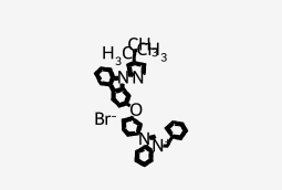 CC(C)(C)c1ccnc(-n2c3ccccc3c3ccc(Oc4cccc(-n5c[n+](Cc6ccccc6)c6ccccc65)c4)cc32)c1.[Br-]